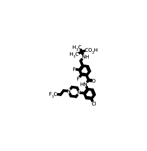 CC(C)(NCc1ccc(C(=O)Nc2ccc(Cl)cc2N2CCN(CCC(F)(F)F)CC2)c(F)c1F)C(=O)O